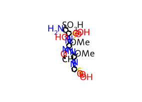 C#CO/C=N/c1cc(N=Nc2c(SOOO)cc3cc(S(=O)(=O)O)c(N)cc3c2O)c(OC)cc1N=Nc1ccc(N=Nc2cccc(SOOO)c2)cc1OC